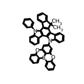 CC1(C)c2ccccc2-c2c1c1c3ccccc3n(-c3cc4c5c(c3)Oc3ccccc3B5c3ccccc3O4)c1c1c3ccccc3n(-c3ccccc3)c21